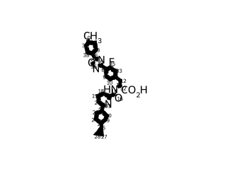 Cc1ccc(-c2nc(-c3ccc(CC(NC(=O)c4cccc(-c5ccc(C6CC6)cc5)n4)C(=O)O)cc3F)no2)cc1